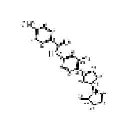 [C-]#[N+]c1ccc(C(=O)Nc2ccc(N3CCC(N4CCCC4C)C3)c(C)c2)cc1